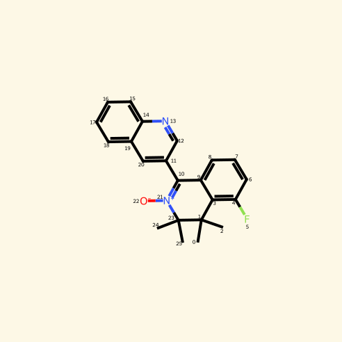 CC1(C)c2c(F)cccc2C(c2cnc3ccccc3c2)=[N+]([O-])C1(C)C